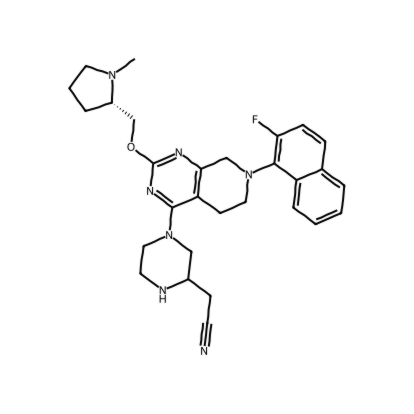 CN1CCC[C@H]1COc1nc2c(c(N3CCNC(CC#N)C3)n1)CCN(c1c(F)ccc3ccccc13)C2